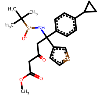 COC(=O)CC(=O)CC(N[S+]([O-])C(C)(C)C)(c1ccc(C2CC2)cc1)c1ccsc1